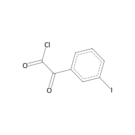 O=C(Cl)C(=O)c1cccc(I)c1